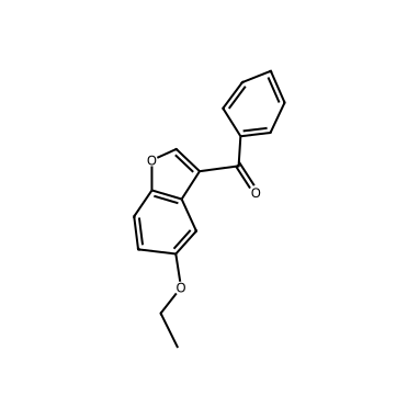 CCOc1ccc2occ(C(=O)c3ccccc3)c2c1